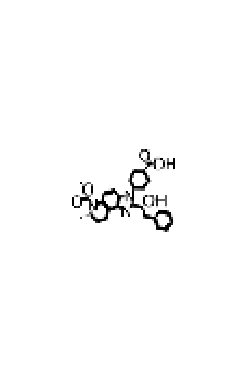 COC(=O)N1c2ccc3c(nc([C@H](O)Cc4ccccc4)n3[C@H]3CC[C@H](C(=O)O)CC3)c2CC[C@@H]1C